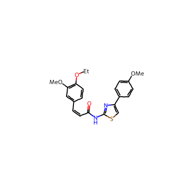 CCOc1ccc(/C=C\C(=O)Nc2nc(-c3ccc(OC)cc3)cs2)cc1OC